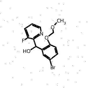 COCOc1ccc(Br)cc1C(O)c1ncccc1F